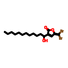 CCCCCCCCCCCC(O)C1=CC(=C(Br)Br)OC1=O